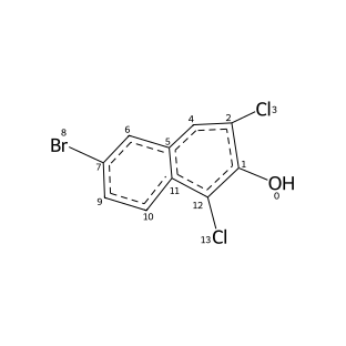 Oc1c(Cl)cc2cc(Br)ccc2c1Cl